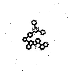 C=C1c2c(cccc2-c2cccc3ccccc23)-c2cc(C3=CC=CC3c3ccc(-c4cc(-c5ccccc5)nc(-c5ccccc5)n4)cc3)c3ccccc3c21